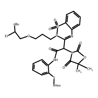 CCCCCCSc1ccccc1NC(=O)C(C1=Nc2ccccc2S(=O)(=O)N1CCCOCC(CC)CCCC)N1C(=O)OC(C)(C)C1=O